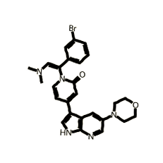 CN(C)/C=C(/c1cccc(Br)c1)n1ccc(-c2c[nH]c3ncc(N4CCOCC4)cc23)cc1=O